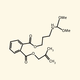 C=C(C)COC(=O)c1ccccc1C(=O)OCCC[SiH2]C(OC)OC